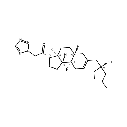 CCC[C@](O)(CF)CC1=CC[C@@H]2[C@H](CC[C@]3(C)[C@@H](C(=O)Cn4ncnn4)CC[C@@H]23)C1